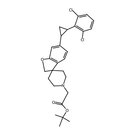 CC(C)(C)OC(=O)CN1CCC2(CC1)COc1cc(C3CC3c3c(Cl)cccc3Cl)ccc12